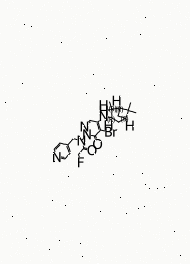 C[C@@H]1[C@H]2C[C@@H](C[C@H]1Nc1cnn(N(Cc3ccncc3)C(=O)CF)c(=O)c1Br)C2(C)C